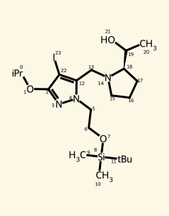 CC(C)Oc1nn(CCO[Si](C)(C)C(C)(C)C)c(CN2CCC[C@@H]2C(C)O)c1I